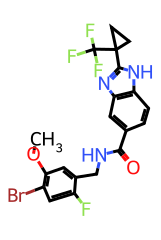 COc1cc(CNC(=O)c2ccc3[nH]c(C4(C(F)(F)F)CC4)nc3c2)c(F)cc1Br